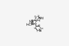 Cl.c1cc(-c2n[nH]c3c2CNCC3)ccn1